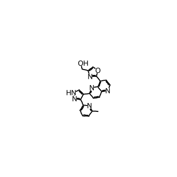 Cc1cccc(-c2n[nH]cc2-c2ccc3nccc(-c4nc(CO)co4)c3n2)n1